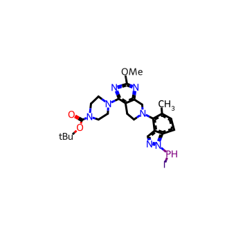 COc1nc2c(c(N3CCN(C(=O)OC(C)(C)C)CC3)n1)CCN(c1c(C)ccc3c1cnn3PI)C2